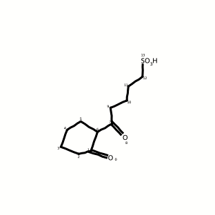 O=C1CCCCC1C(=O)CCCCS(=O)(=O)O